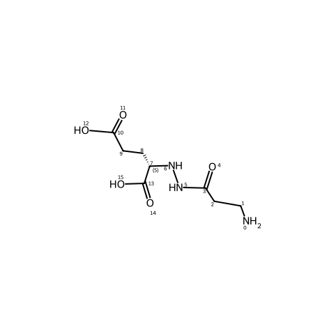 NCCC(=O)NN[C@@H](CCC(=O)O)C(=O)O